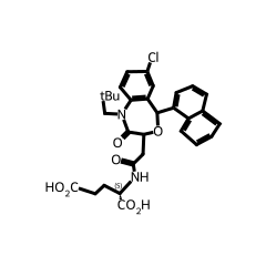 CC(C)(C)CN1C(=O)C(CC(=O)N[C@@H](CCC(=O)O)C(=O)O)OC(c2cccc3ccccc23)c2cc(Cl)ccc21